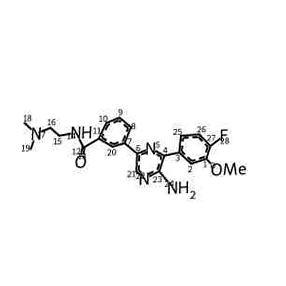 COc1cc(-c2nc(-c3cccc(C(=O)NCCN(C)C)c3)cnc2N)ccc1F